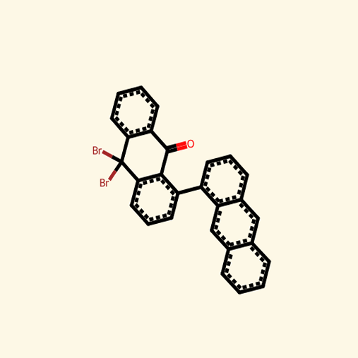 O=C1c2ccccc2C(Br)(Br)c2cccc(-c3cccc4cc5ccccc5cc34)c21